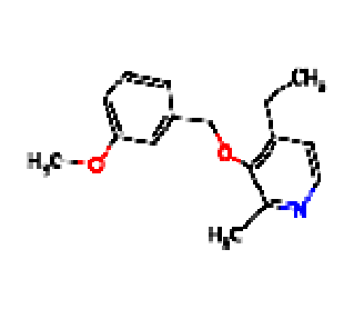 CCc1ccnc(C)c1OCc1cccc(OC)c1